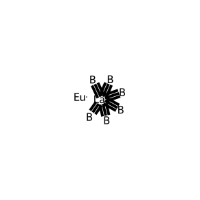 [B]#[La](#[B])(#[B])(#[B])(#[B])#[B].[Eu]